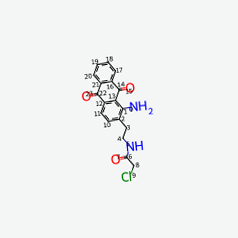 Nc1c(CCNC(=O)CCl)ccc2c1C(=O)c1ccccc1C2=O